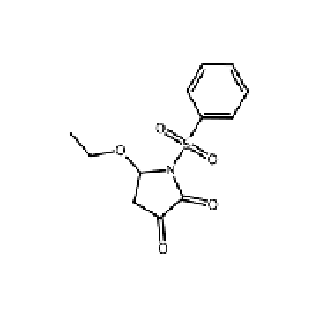 CCOC1CC(=O)C(=O)N1S(=O)(=O)c1ccccc1